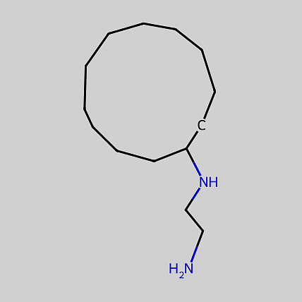 NCCNC1CCCCCCCCCCC1